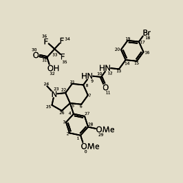 COc1ccc(C23CCC(NC(=O)NCc4ccc(Br)cc4)CC2N(C)CC3)cc1OC.O=C(O)C(F)(F)F